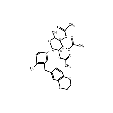 CC(=O)O[C@@H]1[C@@H](OC(C)=O)[C@H](c2ccc(C)c(Cc3ccc4c(c3)OCCO4)c2)OC(O)[C@H]1OC(C)=O